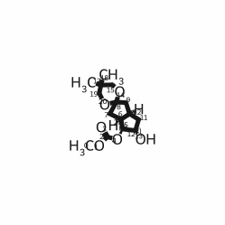 COC(=O)O[C@H]1[C@H]2CC3(C[C@H]2C[C@H]1O)OCC(C)(C)CO3